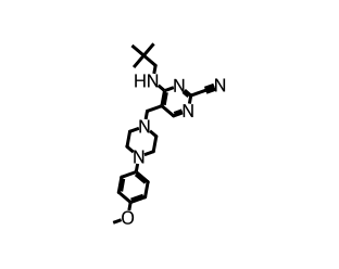 COc1ccc(N2CCN(Cc3cnc(C#N)nc3NCC(C)(C)C)CC2)cc1